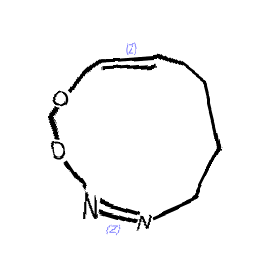 C1=C\OO/N=N\CCC/1